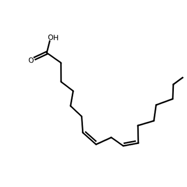 CCCCCC/C=C\C/C=C\CCCCCC(=O)O